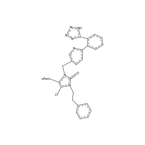 CCCCCc1c(Cl)n(CCc2ccccc2)c(=O)n1Cc1ccc(-c2ccccc2-c2nnn[nH]2)nc1